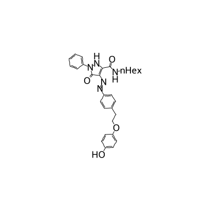 CCCCCCNC(=O)c1[nH]n(-c2ccccc2)c(=O)c1N=Nc1ccc(CCOc2ccc(O)cc2)cc1